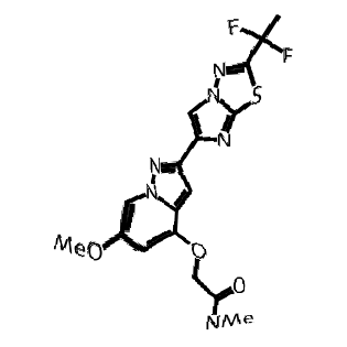 CNC(=O)COc1cc(OC)cn2nc(-c3cn4nc(C(C)(F)F)sc4n3)cc12